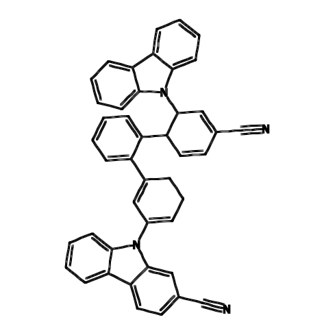 N#CC1=CC(n2c3ccccc3c3ccccc32)C(c2ccccc2C2=CC(n3c4ccccc4c4ccc(C#N)cc43)=CCC2)C=C1